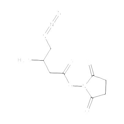 [N-]=[N+]=NCC(CC(=O)ON1C(=O)CCC1=O)S(=O)(=O)O